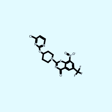 O=c1nc(N2CCC(Oc3nccc(Cl)n3)CC2)sc2c([N+](=O)[O-])cc(C(F)(F)F)cc12